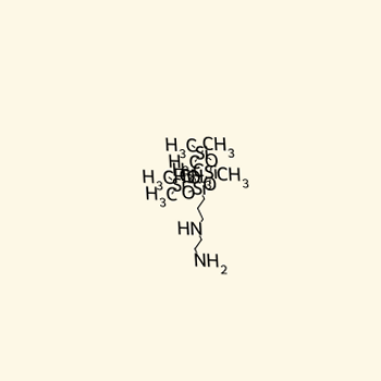 C[Si](C)(C)O[Si](C)(C)O[Si](O)(CCCNCCN)O[Si](C)(C)C